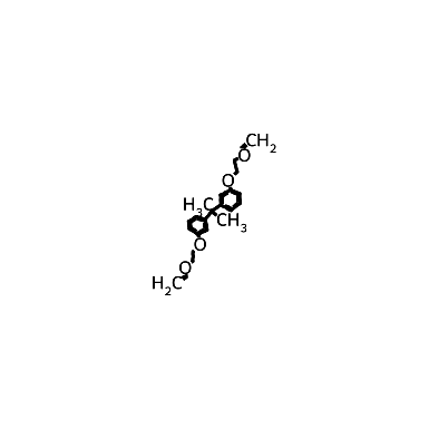 C=COCCOc1cccc(C(C)(C)c2cccc(OCCOC=C)c2)c1